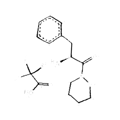 N[C@@H](Cc1ccccc1)C(=O)N1CCCCO1.O=C(O)C(F)(F)F